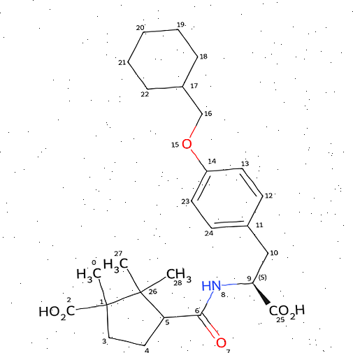 CC1(C(=O)O)CCC(C(=O)N[C@@H](Cc2ccc(OCC3CCCCC3)cc2)C(=O)O)C1(C)C